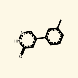 Cc1cccc(-c2cn[nH]c(=O)c2)c1